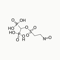 O=NCCS(=O)(=O)OC(P(=O)(O)O)P(=O)(O)O